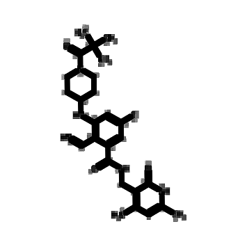 Cc1cc(C)c(CNC(=O)c2cc(Cl)cc(NC3CCN(C(=O)C(C)(C)C)CC3)c2C=N)c(=O)[nH]1